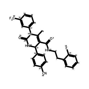 CC1=C(C(=O)NCCc2ccccc2F)C(c2ccc(C#N)cc2)NC(=O)N1c1cccc(C(F)(F)F)c1